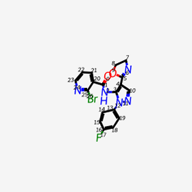 O=C(Nc1c(C2=NCCO2)cnn1-c1ccc(F)cc1)c1cccnc1Br